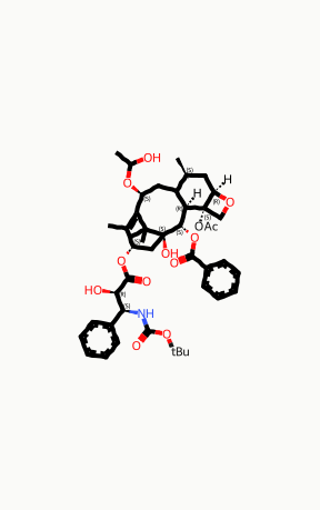 CC(=O)O[C@@]12CO[C@@H]1C[C@H](C)C1C[C@H](OC(C)O)C3=C(C)[C@@H](OC(=O)[C@H](O)[C@@H](NC(=O)OC(C)(C)C)c4ccccc4)C[C@@](O)([C@@H](OC(=O)c4ccccc4)[C@@H]12)C3(C)C